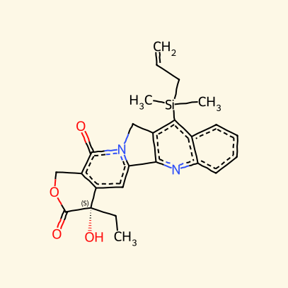 C=CC[Si](C)(C)c1c2c(nc3ccccc13)-c1cc3c(c(=O)n1C2)COC(=O)[C@]3(O)CC